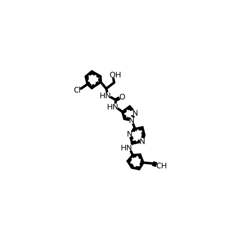 C#Cc1cccc(Nc2nccc(-n3cc(NC(=O)NC(CO)c4cccc(Cl)c4)cn3)n2)c1